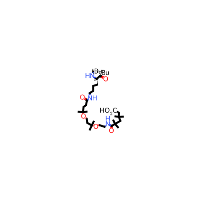 CC(C)(CC(=O)O)CC(C)(C)C(=O)NCCOC(C)(C)CCOC(C)(C)CCC(=O)NCCCC[C@H](NC(C)(C)C)C(=O)C(C)(C)C